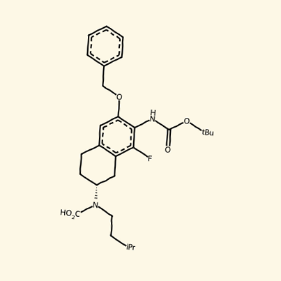 CC(C)CCN(C(=O)O)[C@@H]1CCc2cc(OCc3ccccc3)c(NC(=O)OC(C)(C)C)c(F)c2C1